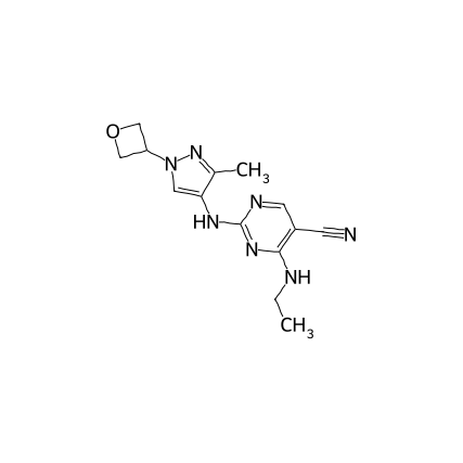 CCNc1nc(Nc2cn(C3COC3)nc2C)ncc1C#N